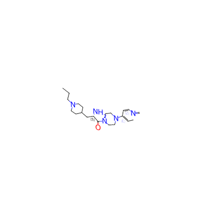 C=N/C=C\C(=C/C)N1CCN(C(=O)[C@@H](N)CC2CCN(CCC)CC2)CC1